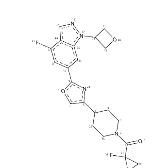 O=C(N1CCC(c2coc(-c3cc(F)c4cnn(C5COC5)c4c3)n2)CC1)C1(F)CC1